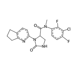 CN(C(=O)C1CNC(=O)N1c1ccc2c(n1)CCC2)c1ccc(F)c(Cl)c1F